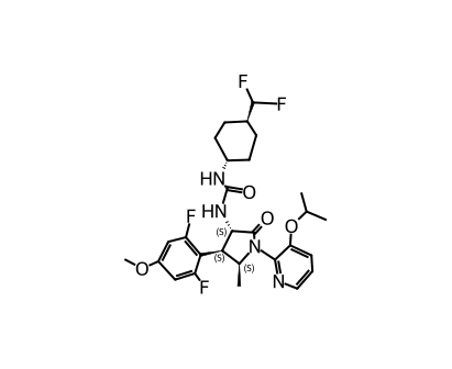 COc1cc(F)c([C@H]2[C@H](NC(=O)N[C@H]3CC[C@H](C(F)F)CC3)C(=O)N(c3ncccc3OC(C)C)[C@H]2C)c(F)c1